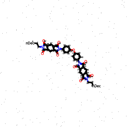 CCCCCCCCCCCCn1c(=O)c2cc3c(=O)n(-c4ccc(Oc5ccc(-n6c(=O)c7cc8c(=O)n(CCCCCCCCCCCC)c(=O)c8cc7c6=O)cc5)cc4)c(=O)c3cc2c1=O